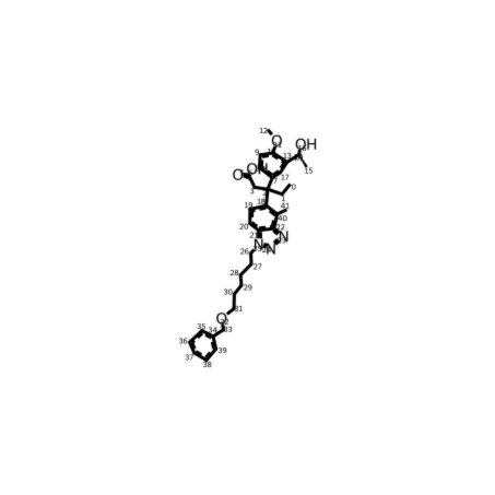 CCC(CC(=O)O)(c1ccc(OC)c([C@H](C)O)c1)c1ccc2c(nnn2CCCCCCOCc2ccccc2)c1C